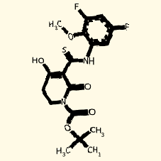 COc1c(F)cc(F)cc1NC(=S)C1=C(O)CCN(C(=O)OC(C)(C)C)C1=O